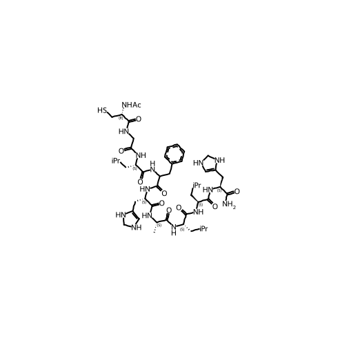 CC(=O)N[C@@H](CS)C(=O)NCC(=O)N[C@@H](CC(C)C)C(=O)NC(Cc1ccccc1)C(=O)N[C@@H](CC1=CNCN1)C(=O)N[C@@H](C)C(=O)N[C@@H](CC(C)C)C(=O)N[C@@H](CC(C)C)C(=O)N[C@@H](CC1=CNCN1)C(N)=O